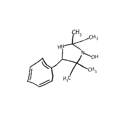 CC1(C)NC(c2ccccc2)C(C)(C)N1O